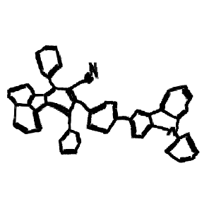 N#Cc1c(-c2ccc(-c3ccc4c(c3)c3ccccc3n4-c3ccccc3)cc2)c(-c2ccccc2)c2c(c1-c1ccccc1)-c1cccc3cccc-2c13